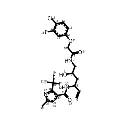 C=CC(CC(O)CNC(=O)COc1ccc(Cl)c(F)c1)NC(=O)c1sc(C)nc1C(F)(F)F